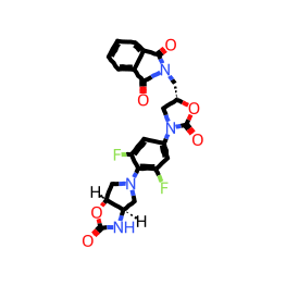 O=C1N[C@@H]2CN(c3c(F)cc(N4C[C@H](CN5C(=O)c6ccccc6C5=O)OC4=O)cc3F)C[C@@H]2O1